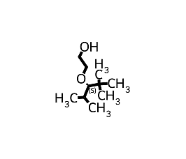 CC(C)[C@H](OCCO)C(C)(C)C